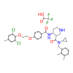 Cc1cc(Cl)c(OCCOc2ccc(C(=O)N[C@H]3CCNCC3C(=O)N(Cc3cccc(C)c3C)C3CC3)cc2)c(Cl)c1.O=C(O)C(F)(F)F